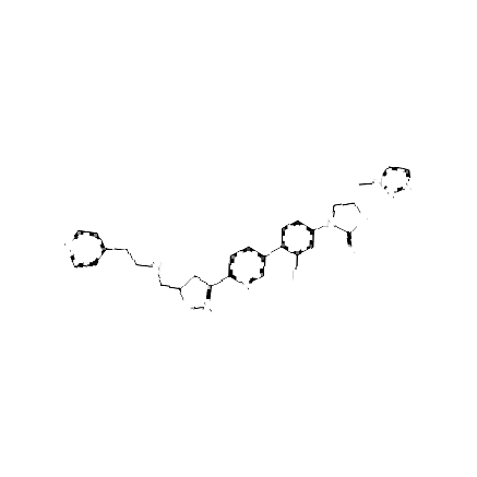 O=C1O[C@@H](Cn2ccnn2)CN1c1ccc(-c2ccc(C3=NOC(CNCCc4ccncc4)C3)nc2)c(F)c1